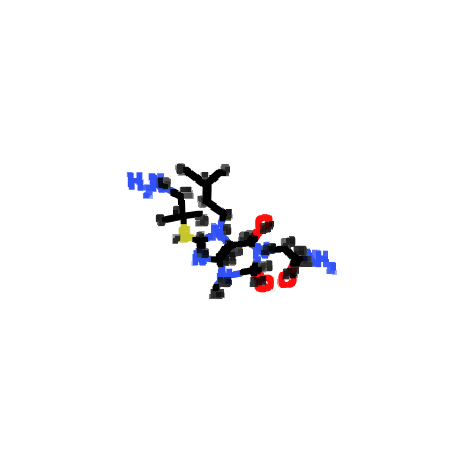 CC(C)=CCn1c(SC(C)(C)CN)nc2c1c(=O)n(CC(N)=O)c(=O)n2C